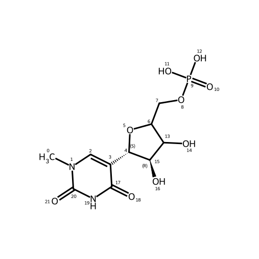 Cn1cc([C@@H]2OC(COP(=O)(O)O)C(O)[C@H]2O)c(=O)[nH]c1=O